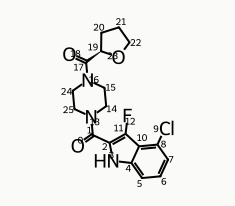 O=C(c1[nH]c2cccc(Cl)c2c1F)N1CCN(C(=O)[C@H]2CCCO2)CC1